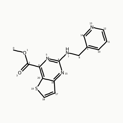 COC(=O)c1nc(NCc2cccnc2)nc2ccsc12